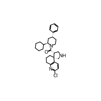 O=C([C@@H]1CNC[C@]12CCCc1nc(Cl)ccc12)N1CC[C@@H](c2ccccc2)C[C@@H]1C1CCCCC1